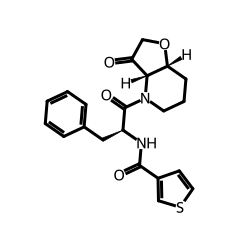 O=C(N[C@@H](Cc1ccccc1)C(=O)N1CCC[C@H]2OCC(=O)[C@H]21)c1ccsc1